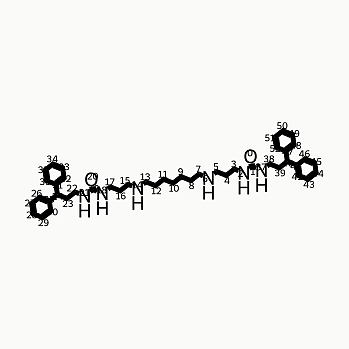 O=C(NCCCNCCCCCCCNCCCNC(=O)NCCC(c1ccccc1)c1ccccc1)NCCC(c1ccccc1)c1ccccc1